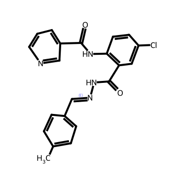 Cc1ccc(/C=N/NC(=O)c2cc(Cl)ccc2NC(=O)c2cccnc2)cc1